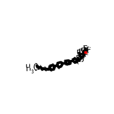 CCCCCCCC1CCC(C2CCC(c3ccc(-c4ccc(C(F)(F)Oc5cc(F)c(C(F)(F)OC(F)(F)F)c(F)c5)cc4)cc3)CC2)CC1